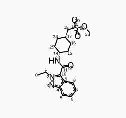 CCn1nc2ccccc2c1C(=O)N[C@H]1CC[C@H](CS(=O)(=O)OC)CC1